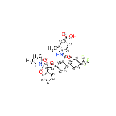 CCN(CC)C(=O)C1(c2ccccc2)COC1=O.Cc1cc(C(=O)O)ccc1NC(=O)c1ccccc1-c1ccc(C(F)(F)F)cc1